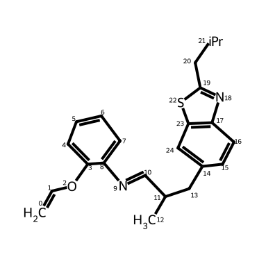 C=COc1ccccc1/N=C/C(C)Cc1ccc2nc(CC(C)C)sc2c1